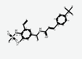 C=Cc1cc(C(C)NC(=O)C=Cc2ccc(C(C)(C)C)cc2)cc(F)c1NS(C)(=O)=O